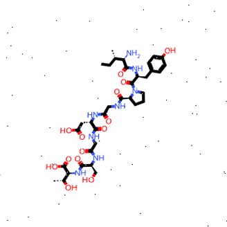 CC[C@H](C)[C@H](N)C(=O)N[C@@H](Cc1ccc(O)cc1)C(=O)N1CCC[C@H]1C(=O)NCC(=O)N[C@@H](CC(=O)O)C(=O)NCC(=O)N[C@@H](CO)C(=O)N[C@H](C(=O)O)[C@@H](C)O